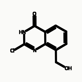 O=c1[nH]c(Cl)nc2c(CO)cccc12